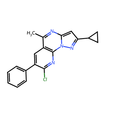 Cc1nc2cc(C3CC3)nn2c2nc(Cl)c(-c3ccccc3)cc12